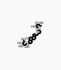 COC1C(O)C(C)OC(OC2OC(CC3CCC4C5=CC(=O)C6C[C@@H](OC7OC(CO)C(O)C(O)C7O)CC[C@]6(C)C5CC[C@]34C)CC[C@H]2C)C1O